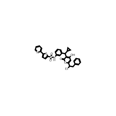 CCC(Cc1ccccc1)c1cc(O)c(C(c2cccc(NS(=O)(=O)c3ccc(-c4ccccn4)s3)c2)C2CC2)c(=O)o1